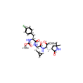 COC(=O)[C@H](C[C@@H]1CC(C)(C)NC1=O)NC(=O)[C@H](CC1CC1)NC(=O)[C@H](Cc1ccc(F)cc1)NC(=O)OC(C)(C)C